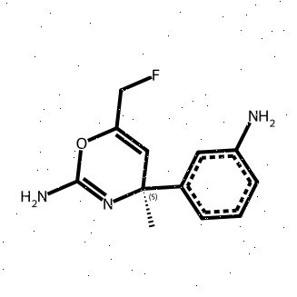 C[C@@]1(c2cccc(N)c2)C=C(CF)OC(N)=N1